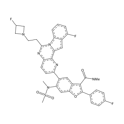 CNC(=O)c1c(-c2ccc(F)cc2)oc2cc(N(C)S(C)(=O)=O)c(-c3ccc4nc(CCN5CC(F)C5)n5c6cccc(F)c6cc5c4n3)cc12